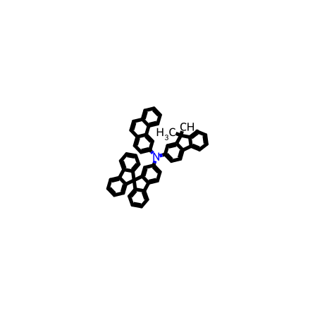 CC1(C)c2ccccc2-c2ccc(N(c3ccc4c(c3)C3(c5ccccc5-c5ccccc53)c3ccccc3-4)c3ccc4ccc5ccccc5c4c3)cc21